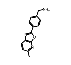 Cc1ccc2nc(-c3ccc(CN)cc3)oc2n1